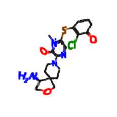 Cn1c(SC2=C(Cl)C(=O)CC=C2)cnc(N2CCC3(CC2)COC[C@H]3N)c1=O